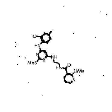 COc1ncccc1C(=O)NCCNc1cc(Nc2ccc(F)cc2Cl)nc(SC)n1